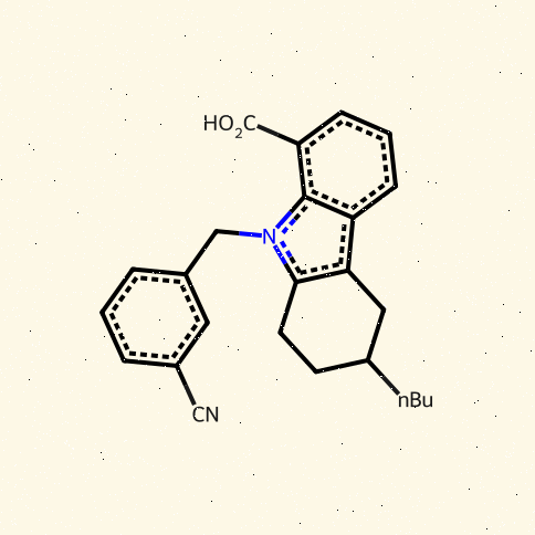 CCCCC1CCc2c(c3cccc(C(=O)O)c3n2Cc2cccc(C#N)c2)C1